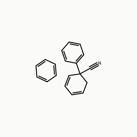 N#CC1(c2ccccc2)C=CC=CC1.c1ccccc1